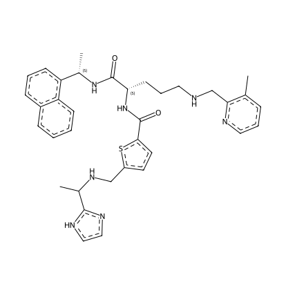 Cc1cccnc1CNCCC[C@H](NC(=O)c1ccc(CNC(C)c2ncc[nH]2)s1)C(=O)N[C@@H](C)c1cccc2ccccc12